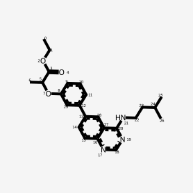 CCOC(=O)C(C)Oc1cccc(-c2ccc3ncnc(NCCC(C)C)c3c2)c1